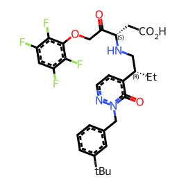 CC[C@@H](CN[C@@H](CC(=O)O)C(=O)COc1c(F)c(F)cc(F)c1F)c1ccnn(Cc2cccc(C(C)(C)C)c2)c1=O